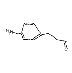 Nc1ccc(CC[C]=O)cc1